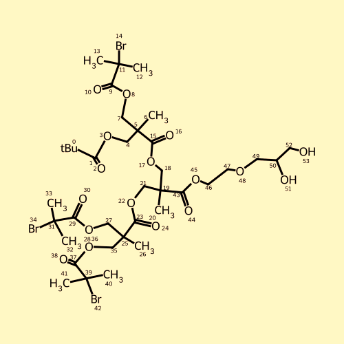 CC(C)(C)C(=O)OCC(C)(COC(=O)C(C)(C)Br)C(=O)OCC(C)(COC(=O)C(C)(COC(=O)C(C)(C)Br)COC(=O)C(C)(C)Br)C(=O)OCCOCC(O)CO